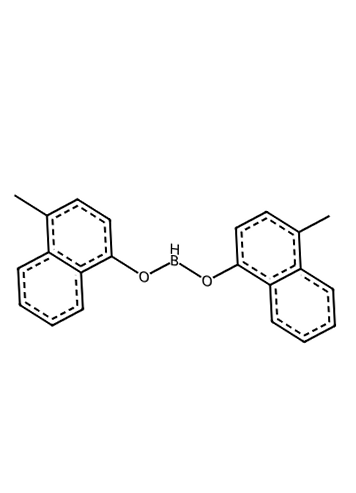 Cc1ccc(OBOc2ccc(C)c3ccccc23)c2ccccc12